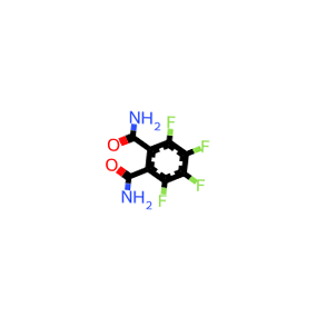 NC(=O)c1c(F)c(F)c(F)c(F)c1C(N)=O